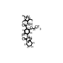 Cc1nn(C)c(C)c1NC(=O)c1cc(F)c(-n2nc3n(c2=O)CCCC3)cc1OCC(F)(F)F